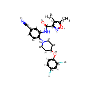 Cc1onc(C(=O)Nc2cc(C#N)ccc2N2CCC(Oc3ccc(F)cc3F)CC2)c1C